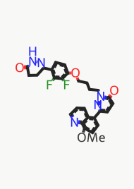 COc1ccc(-c2ccc(=O)n(CCCCOc3ccc(C4=NNC(=O)CC4)c(F)c3F)n2)c2cccnc12